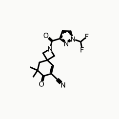 CC1(C)CC2(C=C(C#N)C1=O)CN(C(=O)c1ccn(C(F)F)n1)C2